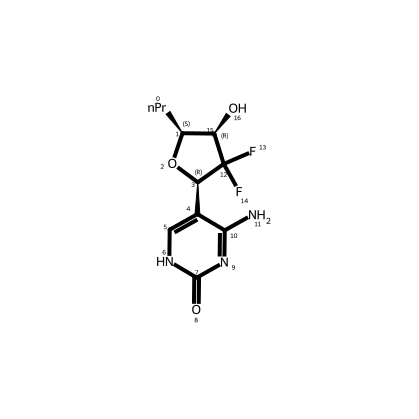 [CH2]CC[C@@H]1O[C@H](c2c[nH]c(=O)nc2N)C(F)(F)[C@@H]1O